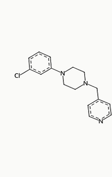 Clc1cccc(N2CCN(Cc3ccncc3)CC2)c1